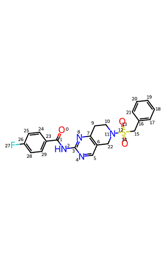 O=C(Nc1ncc2c(n1)CCN(S(=O)(=O)Cc1ccccc1)C2)c1ccc(F)cc1